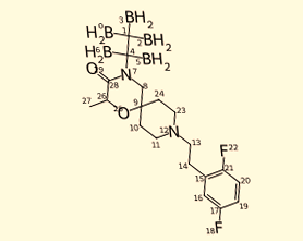 BC(B)(B)C(B)(B)N1CC2(CCN(CCc3cc(F)ccc3F)CC2)OC(C)C1=O